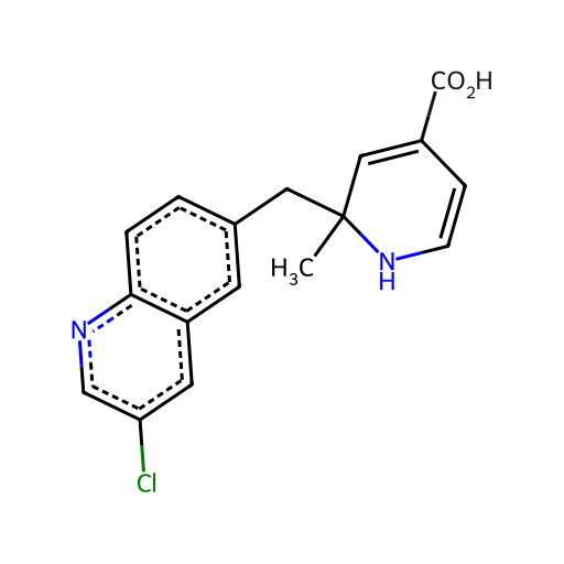 CC1(Cc2ccc3ncc(Cl)cc3c2)C=C(C(=O)O)C=CN1